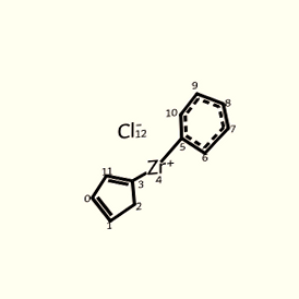 C1=CC[C]([Zr+][c]2ccccc2)=C1.[Cl-]